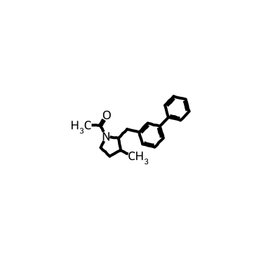 CC(=O)N1CCC(C)C1Cc1cccc(-c2ccccc2)c1